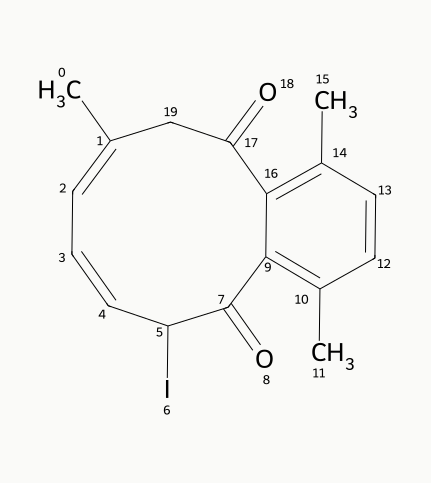 C/C1=C/C=C\C(I)C(=O)c2c(C)ccc(C)c2C(=O)C1